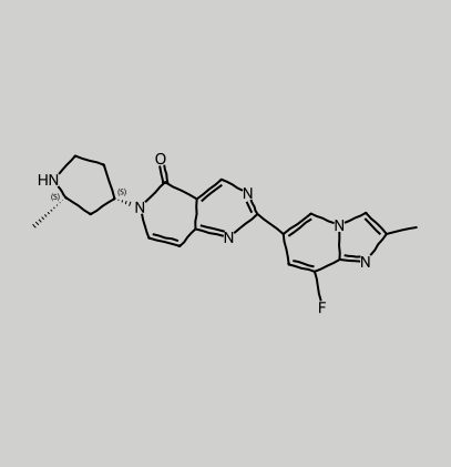 Cc1cn2cc(-c3ncc4c(=O)n([C@H]5CCN[C@@H](C)C5)ccc4n3)cc(F)c2n1